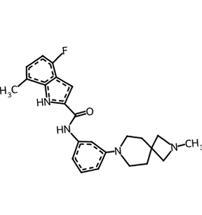 Cc1ccc(F)c2cc(C(=O)Nc3cccc(N4CCC5(CC4)CN(C)C5)c3)[nH]c12